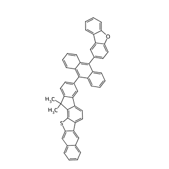 CC1(C)c2ccc(-c3c4ccccc4c(-c4ccc5oc6ccccc6c5c4)c4ccccc34)cc2-c2ccc3c(sc4cc5ccccc5cc43)c21